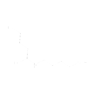 CC(CCCO)NCCCCS(=O)(=O)O